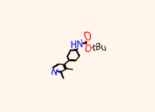 Cc1nccc(C2=CCC(NC(=O)OC(C)(C)C)CC2)c1C